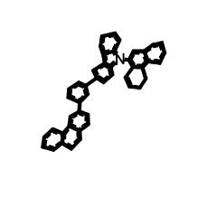 C1=Cc2c(-n3c4ccccc4c4cc(-c5cccc(-c6ccc7ccc8ccccc8c7c6)c5)ccc43)cc3ccccc3c2CC1